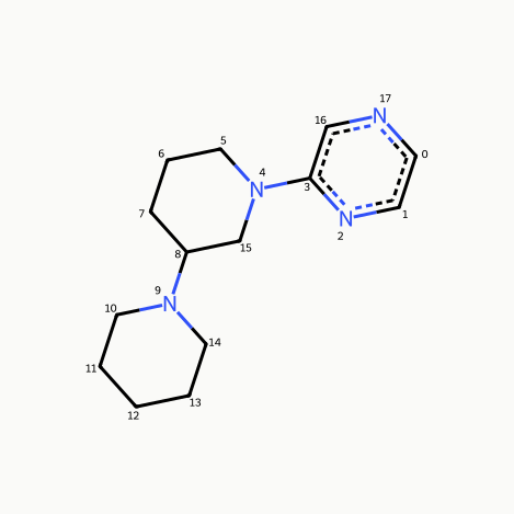 c1cnc(N2CCCC(N3CCCCC3)C2)cn1